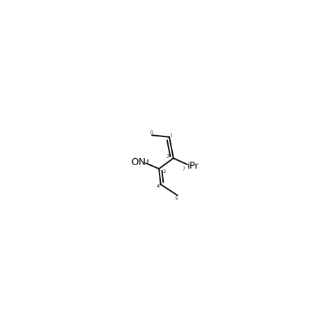 C/C=C(\C(=C/C)N=O)C(C)C